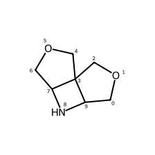 C1OCC23COCC2NC13